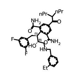 CCCC(CCC)C(=O)c1cc(C(N)=O)c([C@H](Cc2cc(F)cc(F)c2)[C@@H](O)CNCc2cccc(CC)c2)c(C(N)=O)c1